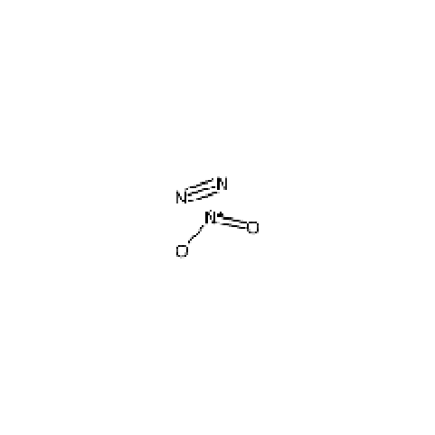 N#N.O=[N+][O-]